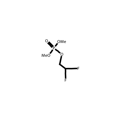 COP(=O)(OC)OCC(F)F